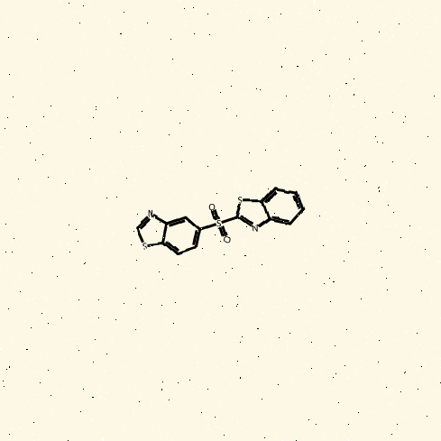 O=S(=O)(c1ccc2scnc2c1)c1nc2ccccc2s1